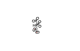 c1ccc(P(CCC(PCCCC(C23CC4CC(CC(C4)C2)C3)C23CC4CC(CC(C4)C2)C3)P(c2ccccc2)c2ccccc2)c2ccccc2)cc1